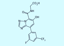 O=C(O)CNC(=O)c1c(O)cc(-c2cc(F)cc(C(F)(F)F)c2)c2ncnn12